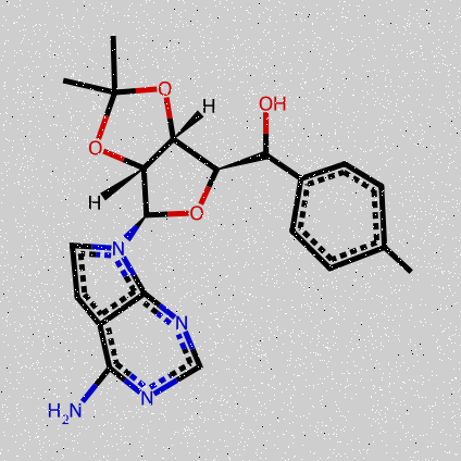 Cc1ccc(C(O)[C@H]2O[C@@H](n3ccc4c(N)ncnc43)[C@@H]3OC(C)(C)O[C@@H]32)cc1